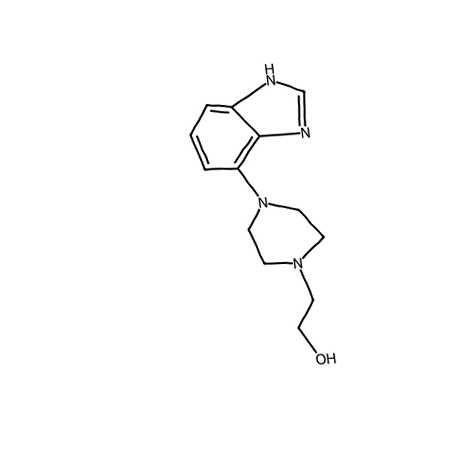 OCCN1CCN(c2cccc3[nH]cnc23)CC1